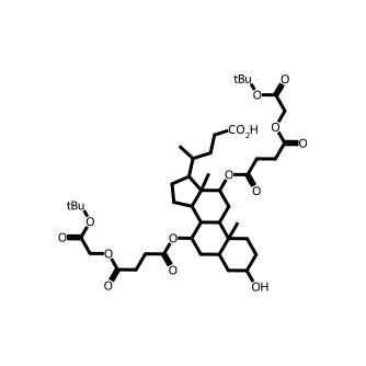 CC(CCC(=O)O)C1CCC2C3C(OC(=O)CCC(=O)OCC(=O)OC(C)(C)C)CC4CC(O)CCC4(C)C3CC(OC(=O)CCC(=O)OCC(=O)OC(C)(C)C)C12C